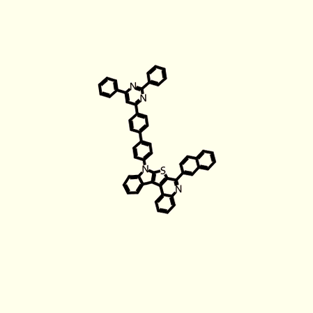 c1ccc(-c2cc(-c3ccc(-c4ccc(-n5c6ccccc6c6c7c(sc65)c(-c5ccc6ccccc6c5)nc5ccccc57)cc4)cc3)nc(-c3ccccc3)n2)cc1